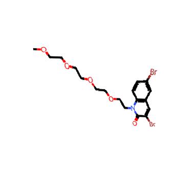 COCCOCCOCCOCCn1c(=O)c(Br)cc2cc(Br)ccc21